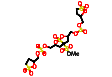 COS(=O)(=O)C1(CCCOS(=O)(=O)OCC2CCS(=O)(=O)O2)CC(COS(=O)OCC2CCS(=O)(=O)O2)OS1(=O)=O